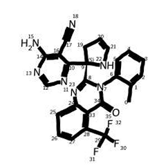 Cc1ccccc1-n1c([C@@]2(c3ncnc(N)c3C#N)CC=CN2)nc2cccc(C(F)(F)F)c2c1=O